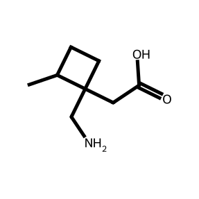 CC1CCC1(CN)CC(=O)O